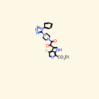 CCOC(=O)c1ncc(F)c2c(C(=O)C(=O)N3CCN(c4nnnn4-c4ccccc4)CC3)c[nH]c12